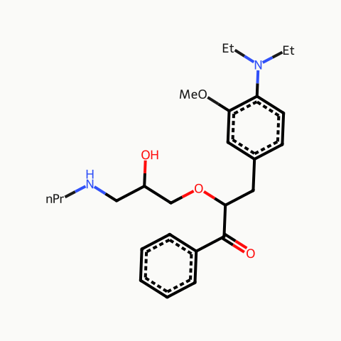 CCCNCC(O)COC(Cc1ccc(N(CC)CC)c(OC)c1)C(=O)c1ccccc1